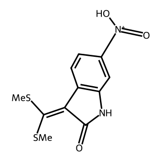 CSC(SC)=C1C(=O)Nc2cc([N+](=O)O)ccc21